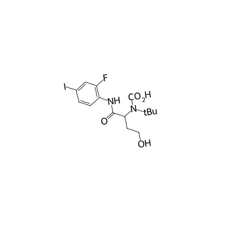 CC(C)(C)N(C(=O)O)C(CCO)C(=O)Nc1ccc(I)cc1F